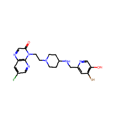 O=c1cnc2cc(F)cnc2n1CCN1CCC(NCc2cc(S)c(O)cn2)CC1